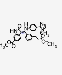 CCOC(=O)CCc1cccc(/C(Nc2ccc(-c3nccn3C)cc2)=C2/C(=O)Nc3cc(C(=O)OC)ccc32)c1